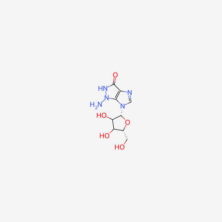 Nn1[nH]c(=O)c2ncn([C@@H]3O[C@H](CO)C(O)C3O)c21